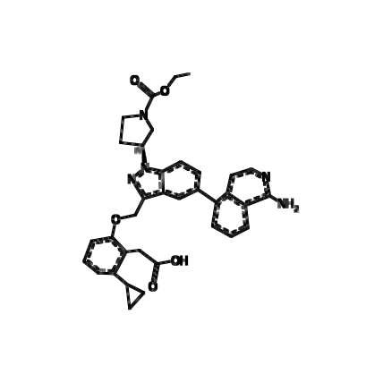 CCOC(=O)N1CC[C@H](n2nc(COc3cccc(C4CC4)c3CC(=O)O)c3cc(-c4cccc5c(N)nccc45)ccc32)C1